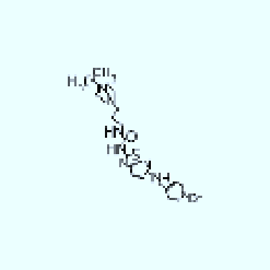 CC(C)N1CCN(CCCNC(=O)Nc2nc3ccc(NCc4ccc(Br)cc4)nc3s2)CC1